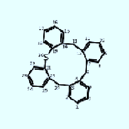 c1ccc2c(c1)Cc1ccccc1Cc1ccccc1Sc1ccccc1C2